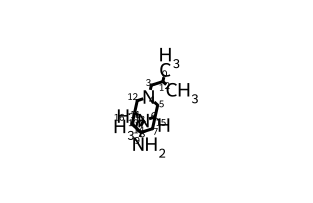 CC(C)CN1C[C@H]2C[C@@H](N)C[C@@H](C1)N2C